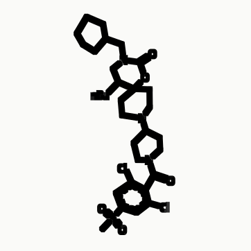 CCCCC1CN(CC2CCCCC2)C(=O)OC12CCN(C1CCN(C(=O)c3c(Cl)cc(S(C)(=O)=O)cc3Cl)CC1)CC2